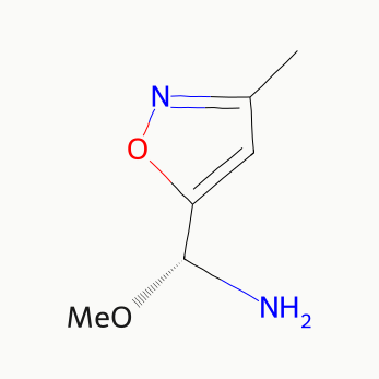 CO[C@@H](N)c1cc(C)no1